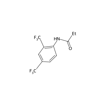 [CH2]CC(=O)Nc1ccc(C(F)(F)F)cc1C(F)(F)F